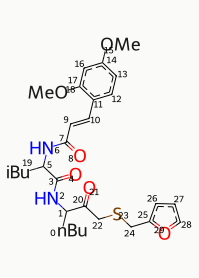 CCCCC(NC(=O)C(NC(=O)C=Cc1ccc(OC)cc1OC)C(C)CC)C(=O)CSCc1ccco1